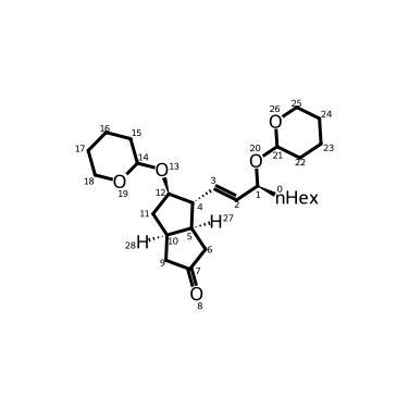 CCCCCC[C@@H](C=C[C@@H]1[C@H]2CC(=O)C[C@H]2C[C@H]1OC1CCCCO1)OC1CCCCO1